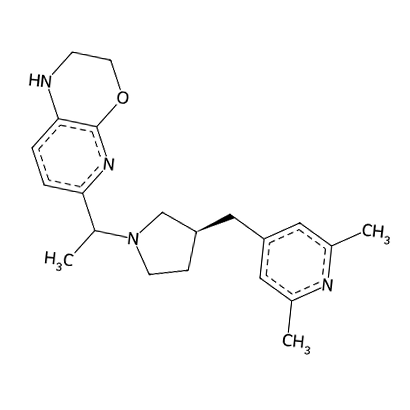 Cc1cc(C[C@H]2CCN(C(C)c3ccc4c(n3)OCCN4)C2)cc(C)n1